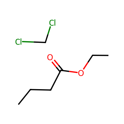 CCCC(=O)OCC.ClCCl